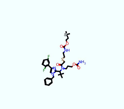 CC(C)(C)C(c1nc(-c2cc(F)ccc2F)cn1Cc1ccccc1)N(CCCOC(N)=O)C(=O)CSCCNC(=O)OCC[Si](C)(C)C